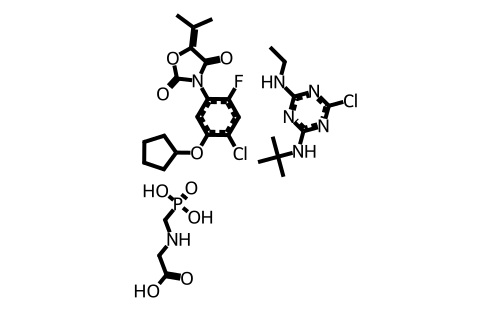 CC(C)=C1OC(=O)N(c2cc(OC3CCCC3)c(Cl)cc2F)C1=O.CCNc1nc(Cl)nc(NC(C)(C)C)n1.O=C(O)CNCP(=O)(O)O